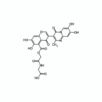 Cc1nc2cc(O)c(O)cn2c(=O)c1-c1coc2cc(O)c(O)c(C(=O)OCC(=O)NCC(=O)O)c2c1=O